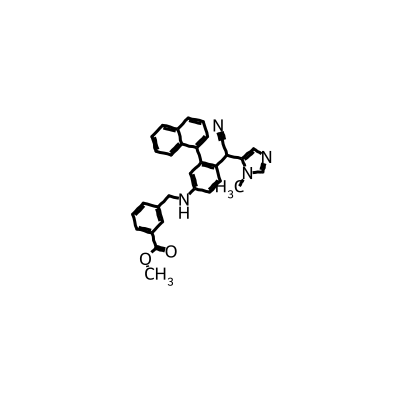 COC(=O)c1cccc(CNc2ccc(C(C#N)c3cncn3C)c(-c3cccc4ccccc34)c2)c1